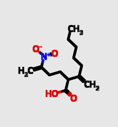 C=C(CCCCC)C(CCC(=C)[N+](=O)[O-])C(=O)O